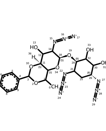 CC1OC(c2ccccc2)O[C@H]2C(O)C(N=[N+]=[N-])[C@@H](O[C@@H]3C(N=[N+]=[N-])C[C@@H](N=[N+]=[N-])C(O)C3O)OC12